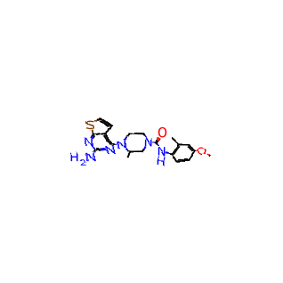 COc1ccc(NC(=O)N2CCN(c3nc(N)nc4sccc34)C(C)C2)c(C)c1